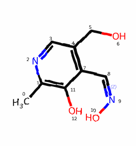 Cc1ncc(CO)c(/C=N\O)c1O